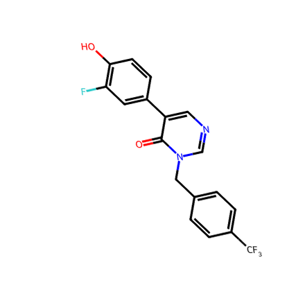 O=c1c(-c2ccc(O)c(F)c2)cncn1Cc1ccc(C(F)(F)F)cc1